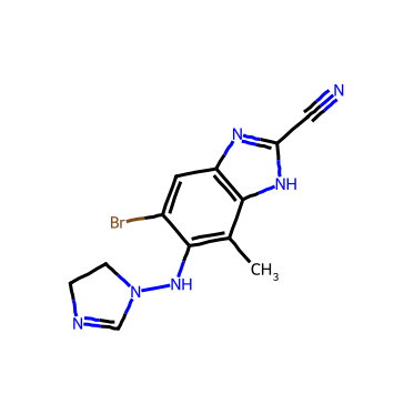 Cc1c(NN2C=NCC2)c(Br)cc2nc(C#N)[nH]c12